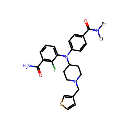 CCN(CC)C(=O)c1ccc(N(c2cccc(C(N)=O)c2F)C2CCN(Cc3ccsc3)CC2)cc1